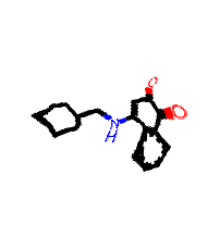 O=C1C=C(NCC2CCCCC2)c2ccccc2C1=O